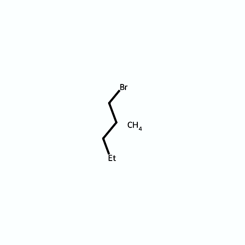 C.CCCCCBr